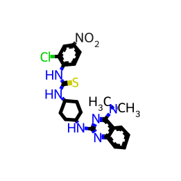 CN(C)c1nc(NC2CCC(NC(=S)Nc3ccc([N+](=O)[O-])cc3Cl)CC2)nc2ccccc12